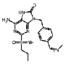 CCCS(=N)(=O)c1nc(N)c2[nH]c(=O)n(Cc3ccc(/C=N\C)cc3)c2n1